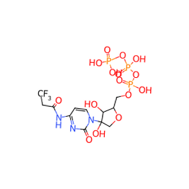 O=C(CC(F)(F)F)Nc1ccn(C2(O)COC(COP(=O)(O)OP(=O)(O)OP(=O)(O)O)C2O)c(=O)n1